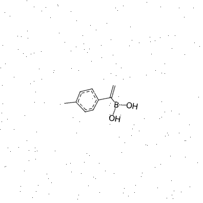 C=C(B(O)O)c1ccc(C)cc1